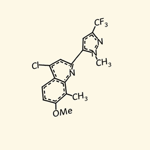 COc1ccc2c(Cl)cc(-c3cc(C(F)(F)F)nn3C)nc2c1C